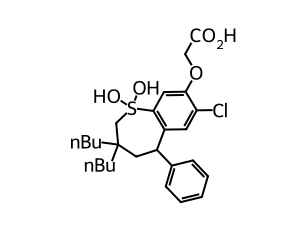 CCCCC1(CCCC)CC(c2ccccc2)c2cc(Cl)c(OCC(=O)O)cc2S(O)(O)C1